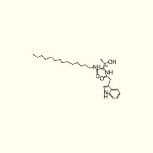 CCCCCCCCCCCCCCNC(=O)[C@@H](NC(=O)Cc1c[nH]c2ccccc12)[C@@H](C)O